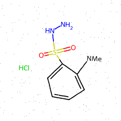 CNc1ccccc1S(=O)(=O)NN.Cl